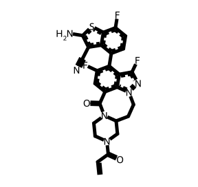 C=CC(=O)N1CCN2C(=O)c3cc(F)c(-c4ccc(F)c5sc(N)c(C#N)c45)c4c(F)nn(c34)CCC2C1